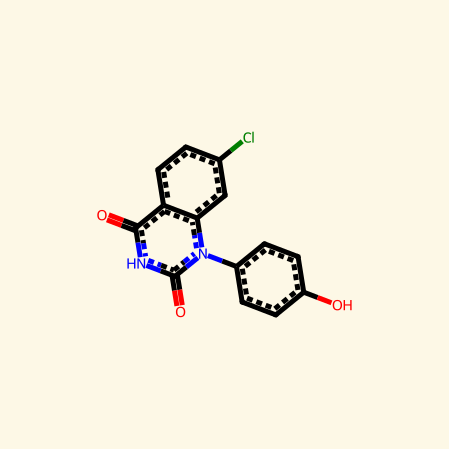 O=c1[nH]c(=O)n(-c2ccc(O)cc2)c2cc(Cl)ccc12